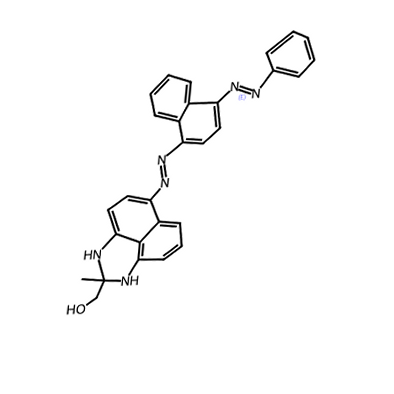 CC1(CO)Nc2cccc3c(N=Nc4ccc(/N=N/c5ccccc5)c5ccccc45)ccc(c23)N1